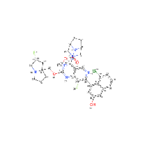 CC(C)(C)OC(=O)N1C2CCC1CN(c1nc(OCC34CCCN3C[C@H](F)C4)nc3c(F)c(-c4cc(O)cc5cccc(Cl)c45)ncc13)C2